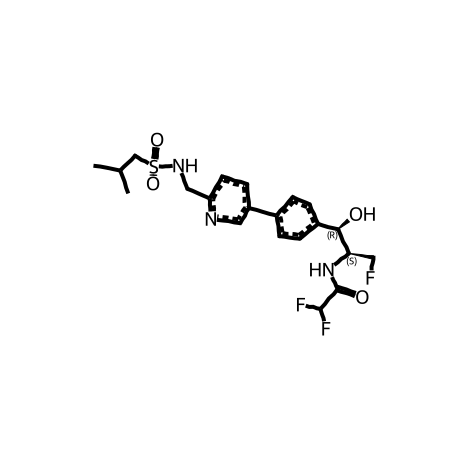 CC(C)CS(=O)(=O)NCc1ccc(-c2ccc([C@@H](O)[C@@H](CF)NC(=O)C(F)F)cc2)cn1